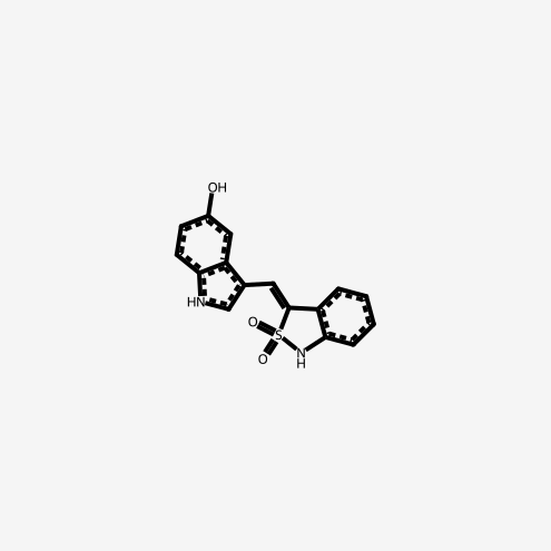 O=S1(=O)Nc2ccccc2C1=Cc1c[nH]c2ccc(O)cc12